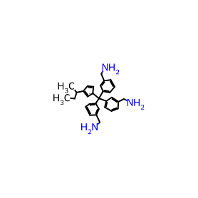 CCC(C)C1=C[C](C(c2cccc(CN)c2)(c2cccc(CN)c2)c2cccc(CN)c2)C=C1